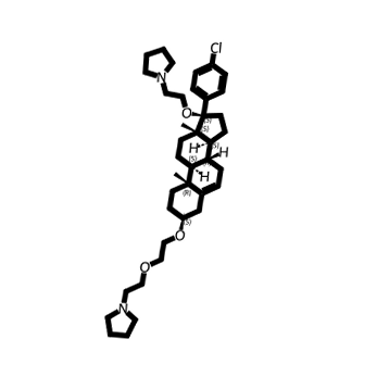 C[C@]12CC[C@H](OCCOCCN3CCCC3)CC1=CC[C@@H]1[C@@H]2CC[C@@]2(C)[C@H]1CC[C@@]2(OCCN1CCCC1)c1ccc(Cl)cc1